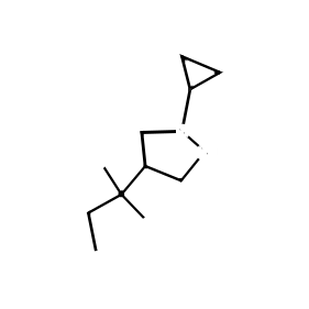 CCC(C)(C)C1CNN(C2CC2)C1